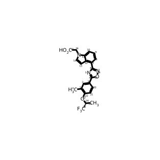 Cc1cc(-c2nc(-c3cccc4c3ccn4CC(=O)O)no2)ccc1O[C@@H](C)C(F)(F)F